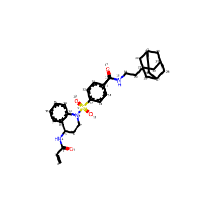 C=CC(=O)NC1CCN(S(=O)(=O)c2ccc(C(=O)NCCC34CC5CC(CC(C5)C3)C4)cc2)c2ccccc21